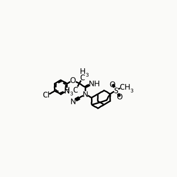 CC(C)(Oc1ccc(Cl)cn1)C(=N)N(C#N)C1C2CC3CC1CC(S(C)(=O)=O)(C3)C2